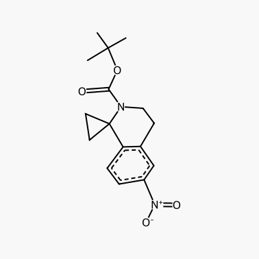 CC(C)(C)OC(=O)N1CCc2cc([N+](=O)[O-])ccc2C12CC2